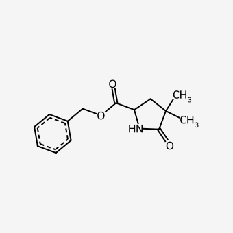 CC1(C)CC(C(=O)OCc2ccccc2)NC1=O